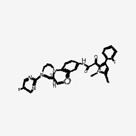 Cc1cc(-c2ccccc2F)c(C(=O)C(=O)Nc2ccc3c(c2)OC[C@@H]2CN(c4ncc(F)cn4)CCN32)n1C